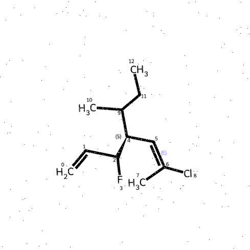 C=CC(F)[C@H](/C=C(\C)Cl)C(C)CC